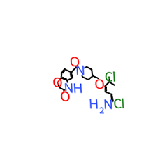 CC(Cl)/C(=C\C=C(/N)Cl)OCC1CCN(C(=O)c2ccc3c(c2)NC(=O)CO3)CC1